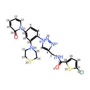 O=C(NCc1cn(-c2ccc(-n3ccccc3=O)cc2N2CCSCC2)nn1)c1ccc(Cl)s1